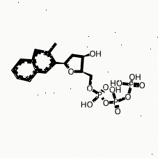 Cc1cc2ccccc2cc1[C@H]1C[C@@H](O)[C@@H](COP(=O)(O)OP(=O)(O)OP(=O)(O)O)O1